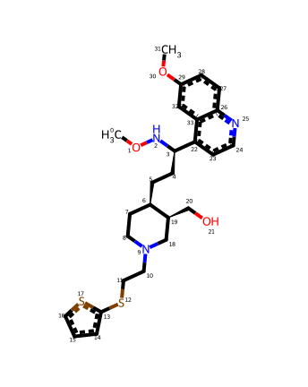 CON[C@H](CC[C@@H]1CCN(CCSc2cccs2)C[C@@H]1CO)c1ccnc2ccc(OC)cc12